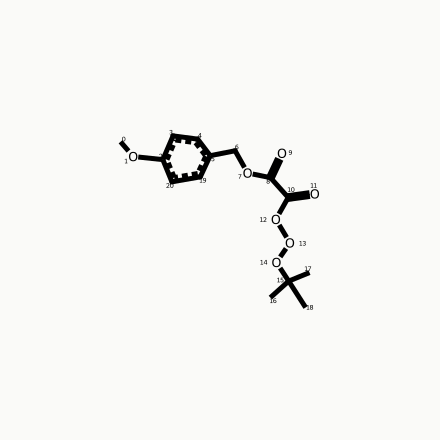 COc1ccc(COC(=O)C(=O)OOOC(C)(C)C)cc1